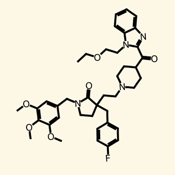 CCOCCn1c(C(=O)C2CCN(CCC3(Cc4ccc(F)cc4)CCN(Cc4cc(OC)c(OC)c(OC)c4)C3=O)CC2)nc2ccccc21